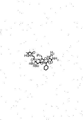 CCCC[C@@H](OC(=O)CNC(=O)[C@@H](C)[C@H](C)O)[C@@H](CCCC)C(=O)N(C)[C@@H](CC(C)C)C(=O)N[C@H](C(=O)N[C@@H](CN)C(N)=O)C1CCCCC1